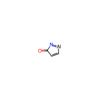 O=C1C=[CH][Al]=[N]1